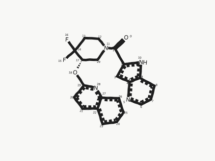 O=C(c1cc2ncccc2[nH]1)N1CCC(F)(F)[C@@H](Oc2ccc3ccccc3n2)C1